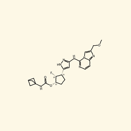 COCc1cn2c(Nc3cc([C@@H]4CC[C@H](OC(=O)NC56CC(C5)C6)[C@@H]4F)[nH]n3)nccc2n1